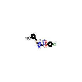 CCn1c(SCc2cccc(C#N)c2)nnc1[C@@H](C)NS(=O)(=O)c1ccc(Cl)cc1